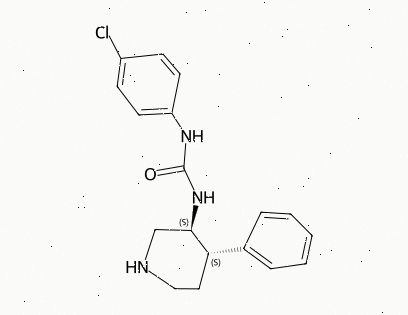 O=C(Nc1ccc(Cl)cc1)N[C@@H]1CNCC[C@H]1c1ccccc1